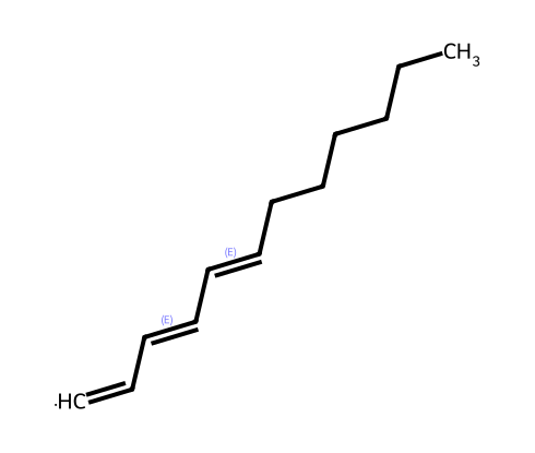 [CH]=C/C=C/C=C/CCCCCC